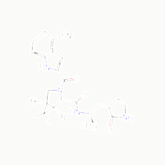 CC1(C)[C@@H]2[C@@H](C(=O)N[C@H](C=O)C[C@@H]3CCNC3=O)N(C(=O)c3cc4c(C#N)cccc4[nH]3)C[C@@H]21